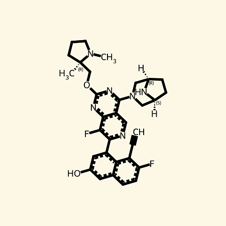 C#Cc1c(F)ccc2cc(O)cc(-c3ncc4c(N5C[C@H]6CC[C@@H](C5)N6)nc(OC[C@@]5(C)CCCN5C)nc4c3F)c12